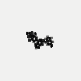 O=C(O)N1[C@@H]2CC(F)[C@H]1CN(c1nc(OC[C@@]34CCCN3C[C@H](F)C4)nc3scnc13)C2